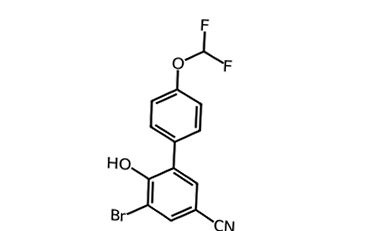 N#Cc1cc(Br)c(O)c(-c2ccc(OC(F)F)cc2)c1